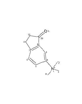 C[N+](C)(C)c1ccc2c(c1)C(=O)CC2